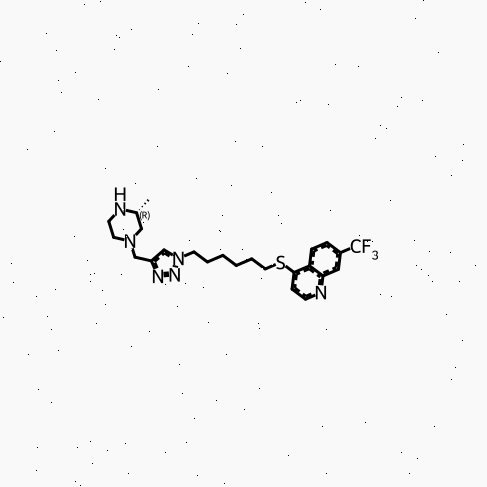 C[C@@H]1CN(Cc2cn(CCCCCCSc3ccnc4cc(C(F)(F)F)ccc34)nn2)CCN1